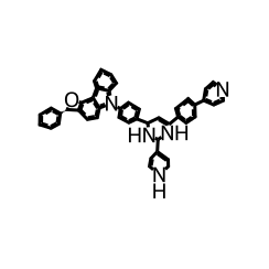 C1=CC(C2NC(c3ccc(-c4ccncc4)cc3)=CC(c3ccc(-n4c5ccccc5c5c6c(ccc54)[C@H](c4ccccc4)O6)cc3)N2)=CCN1